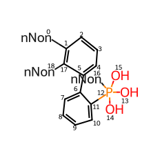 CCCCCCCCCc1cccc(-c2ccccc2P(O)(O)(O)CCCCCCCCC)c1CCCCCCCCC